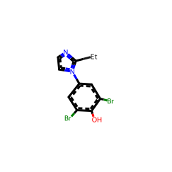 CCc1nccn1-c1cc(Br)c(O)c(Br)c1